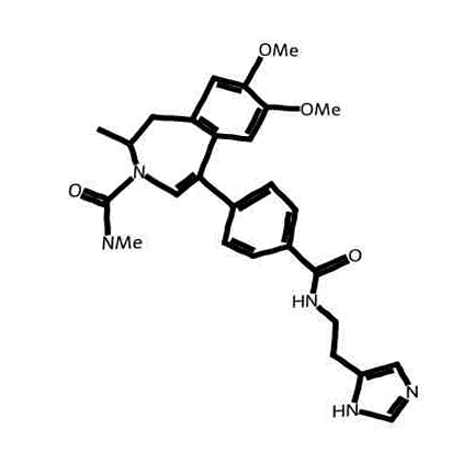 CNC(=O)N1C=C(c2ccc(C(=O)NCCc3cnc[nH]3)cc2)c2cc(OC)c(OC)cc2CC1C